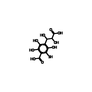 O=C(O)c1c(O)c(O)c(C(O)C(O)C(=O)O)c(O)c1S